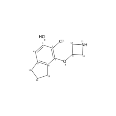 Cl.Clc1ccc2c(c1OC1CNC1)CCC2